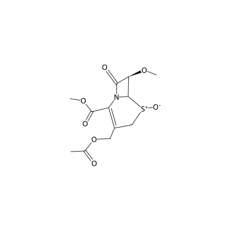 COC(=O)C1=C(COC(C)=O)C[S+]([O-])C2[C@H](OC)C(=O)N12